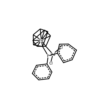 [Cl][Pd]([Cl])[C]12[CH]3[CH]4[CH]5[CH]1[Fe]45321678[CH]2[CH]1[CH]6[C]7(P(c1ccccc1)c1ccccc1)[CH]28